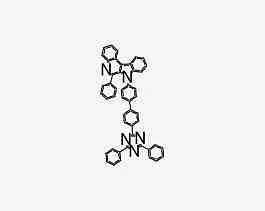 c1ccc(-c2nc(-c3ccccc3)nc(-c3ccc(-c4ccc(-n5c6ccccc6c6c7ccccc7nc(-c7ccccc7)c65)cc4)cc3)n2)cc1